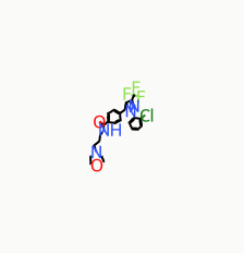 O=C(NCCCN1CCOCC1)c1ccc(-c2cc(C(F)(F)F)nn2-c2ccccc2Cl)cc1